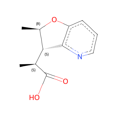 C[C@H](C(=O)O)[C@H]1c2ncccc2O[C@@H]1C